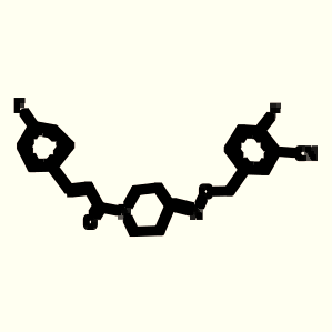 N#Cc1cc(CON=C2CCN(C(=O)/C=C/c3ccc(F)cc3)CC2)ccc1F